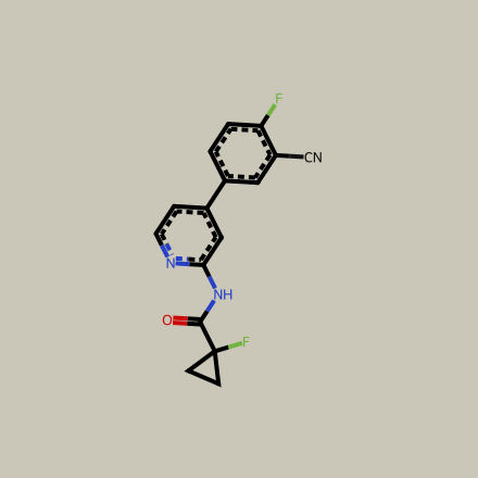 N#Cc1cc(-c2ccnc(NC(=O)C3(F)CC3)c2)ccc1F